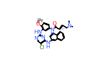 CC(C)Oc1ccc(NC(=O)/C=C/CN(C)C)cc1Nc1ncc(Cl)c(Nc2ccc3ccccc3c2)n1